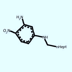 CCCCCCCCNc1ccc([N+](=O)[O-])c(N)c1